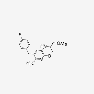 COC[C@H]1COc2nc(C)c(Cc3ccc(F)cc3)cc2N1